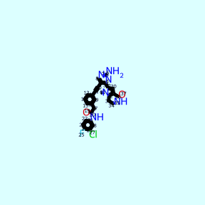 Cn1c(-c2nc(N)ncc2C#Cc2cccc(CC(=O)Nc3ccc(F)c(Cl)c3)c2)cc2c1CCNC2=O